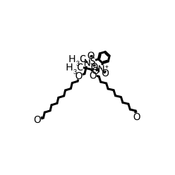 CN(C(C)(COCCCCCCCCCCC=O)COCCCCCCCCCCC=O)S(=O)(=O)c1ccccc1[N+](=O)[O-]